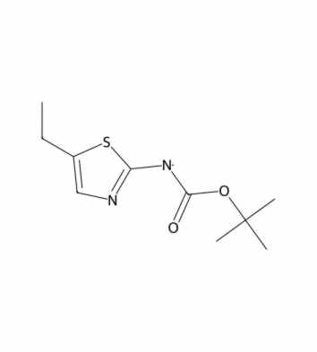 CCc1cnc([N]C(=O)OC(C)(C)C)s1